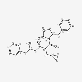 O=C(CC(O)Cc1ccccc1)C(CC1CC1)C(=O)N1C(=O)OC[C@@H]1Cc1ccccc1